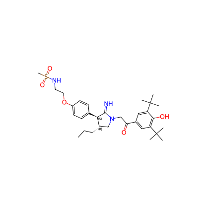 CCC[C@H]1CN(CC(=O)c2cc(C(C)(C)C)c(O)c(C(C)(C)C)c2)C(=N)[C@@H]1c1ccc(OCCNS(C)(=O)=O)cc1